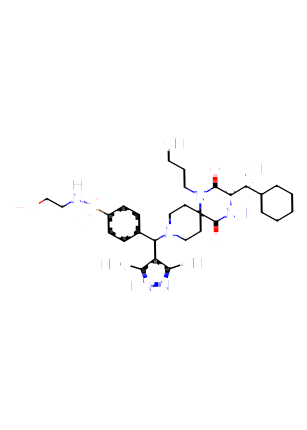 CCCCN1C(=O)[C@@H]([C@H](O)C2CCCCC2)NC(=O)C12CCN(C(c1ccc(S(=O)(=O)NCCO)cc1)c1c(C)n[nH]c1C)CC2